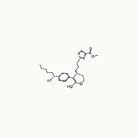 CCCCCC(O)c1ccc(C2=C(O)OCC[C@@H]2CCCc2ccc(C(=O)OC)s2)cc1